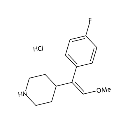 CO/C=C(\c1ccc(F)cc1)C1CCNCC1.Cl